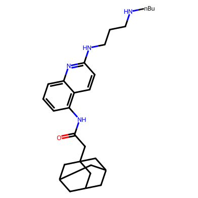 CCCCNCCCNc1ccc2c(NC(=O)CC34CC5CC(CC(C5)C3)C4)cccc2n1